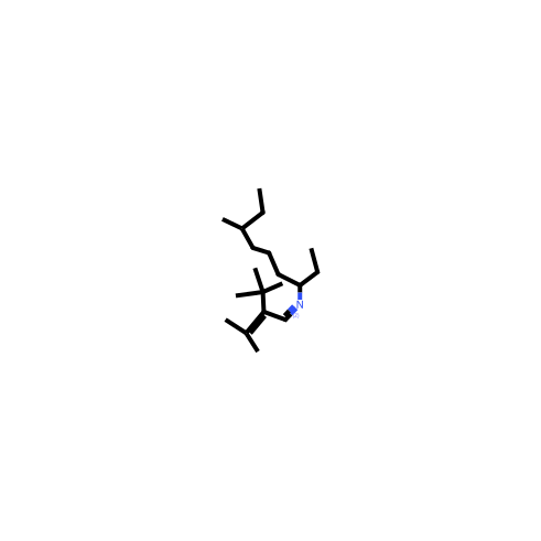 CCC(C)CCCC(CC)/N=C\C(=C(C)C)C(C)(C)C